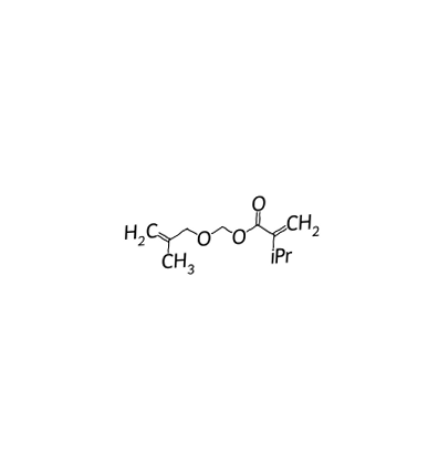 C=C(C)COCOC(=O)C(=C)C(C)C